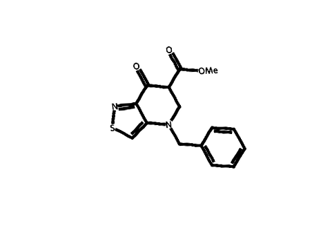 COC(=O)C1CN(Cc2ccccc2)c2csnc2C1=O